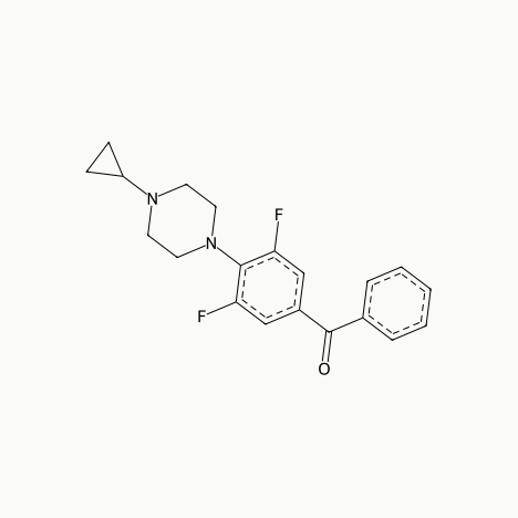 O=C(c1ccccc1)c1cc(F)c(N2CCN(C3CC3)CC2)c(F)c1